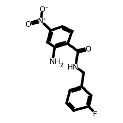 Nc1cc([N+](=O)[O-])ccc1C(=O)NCc1cccc(F)c1